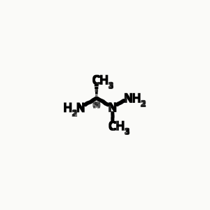 C[C@@H](N)N(C)N